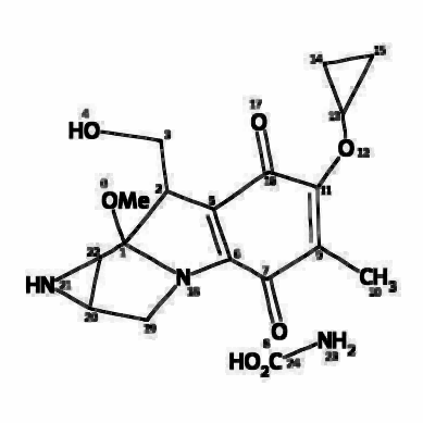 COC12C(CO)C3=C(C(=O)C(C)=C(OC4CC4)C3=O)N1CC1NC12.NC(=O)O